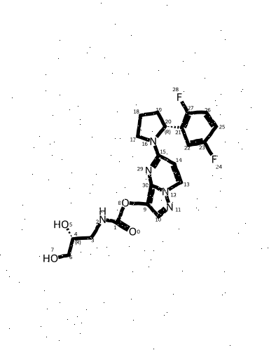 O=C(NC[C@@H](O)CO)Oc1cnn2ccc(N3CCC[C@@H]3c3cc(F)ccc3F)nc12